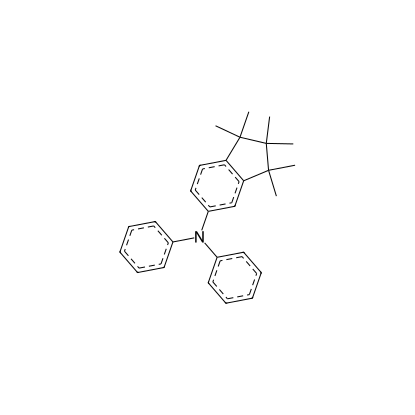 CC1(C)c2ccc(N(c3ccccc3)c3ccccc3)cc2C(C)(C)C1(C)C